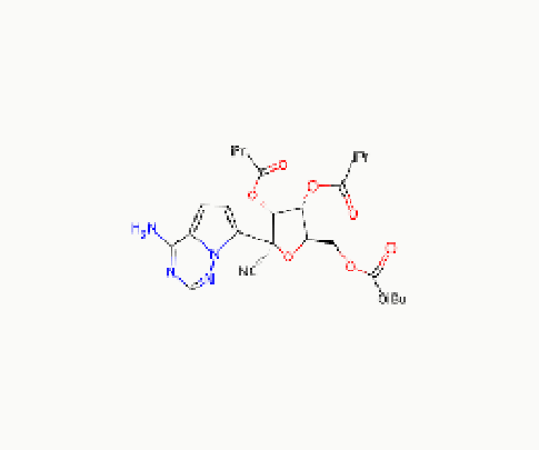 CC(C)COC(=O)OC[C@H]1O[C@@](C#N)(c2ccc3c(N)ncnn23)[C@H](OC(=O)C(C)C)[C@@H]1OC(=O)C(C)C